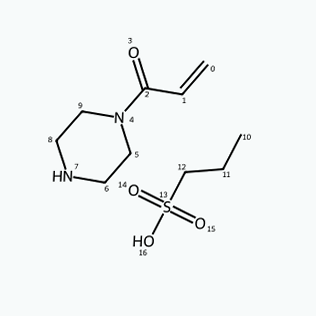 C=CC(=O)N1CCNCC1.CCCS(=O)(=O)O